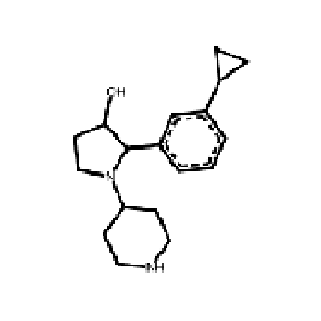 OC1CCN(C2CCNCC2)C1c1cccc(C2CC2)c1